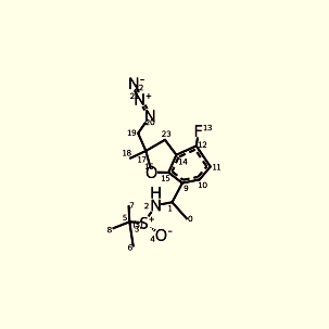 CC(N[S@+]([O-])C(C)(C)C)c1ccc(F)c2c1OC(C)(CN=[N+]=[N-])C2